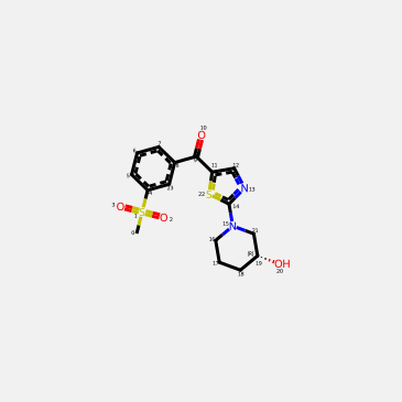 CS(=O)(=O)c1cccc(C(=O)c2cnc(N3CCC[C@@H](O)C3)s2)c1